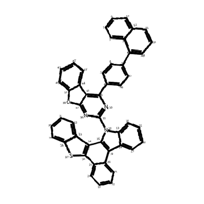 c1ccc2c(-c3ccc(-c4nc(-n5c6ccccc6c6c7ccccc7c7sc8ccccc8c7c65)nc5oc6ccccc6c45)cc3)cccc2c1